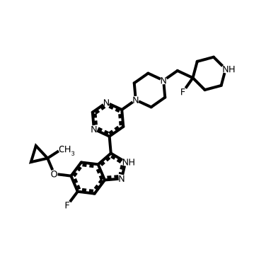 CC1(Oc2cc3c(-c4cc(N5CCN(CC6(F)CCNCC6)CC5)ncn4)[nH]nc3cc2F)CC1